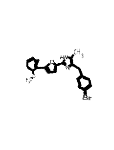 Cc1[nH]c(-c2ccc(-c3ccccc3OC(F)(F)F)o2)nc1Cc1ccc(Br)cc1